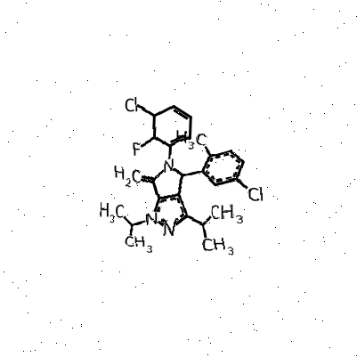 C=C1c2c(c(C(C)C)nn2C(C)C)C(c2cc(Cl)ccc2C)N1C1=CC=CC(Cl)C1F